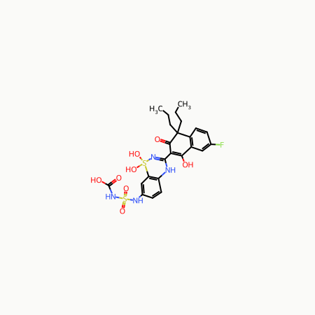 CCCC1(CCC)C(=O)C(C2=NS(O)(O)c3cc(NS(=O)(=O)NC(=O)O)ccc3N2)=C(O)c2cc(F)ccc21